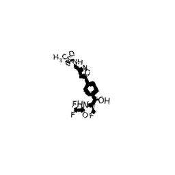 CS(=O)(=O)NCc1cc(-c2ccc([C@@H](O)[C@@H](CF)NC(=O)C(F)F)cc2)on1